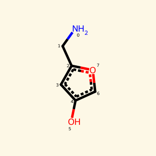 NCc1cc(O)co1